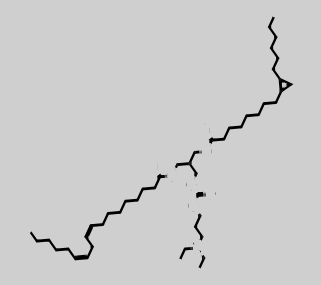 CCCCC/C=C\C/C=C\CCCCCCCC(=O)OCC(COC(=O)CCCCCCCC1CC1CCCCCC)COC(=O)OCCCN(CC)CC